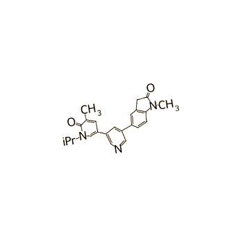 Cc1cc(-c2cncc(-c3ccc4c(c3)CC(=O)N4C)c2)cn(C(C)C)c1=O